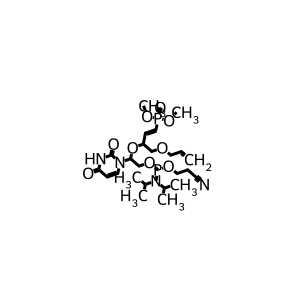 C=CCOCC(/C=C/P(=O)(OC)OC)OC(COP(OCCC#N)N(C(C)C)C(C)C)n1ccc(=O)[nH]c1=O